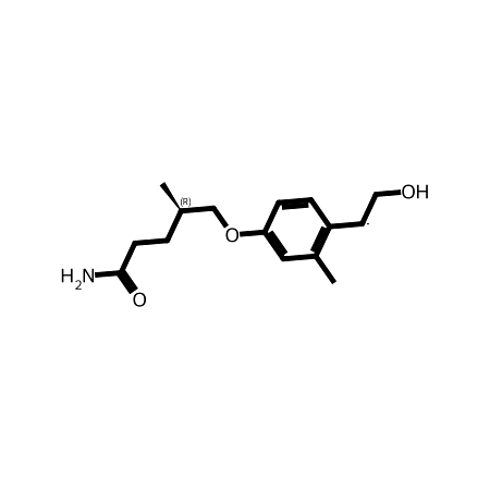 Cc1cc(OC[C@H](C)CCC(N)=O)ccc1[CH]CO